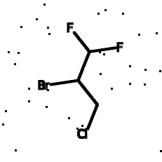 FC(F)C(Br)CCl